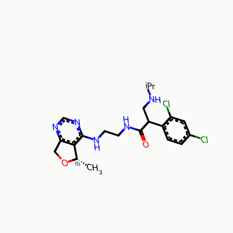 CC(C)NCC(C(=O)NCCNc1ncnc2c1[C@H](C)OC2)c1ccc(Cl)cc1Cl